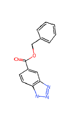 O=C(OCc1ccccc1)c1ccc2c(c1)N=N[N]2